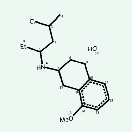 CCC(CC(C)Cl)NC1CCc2cccc(OC)c2C1.Cl